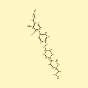 C/C=C/Oc1ccc(-c2ccc(CCC3CCC(C4CCC(CCC)CC4)CC3)cc2)c(F)c1F